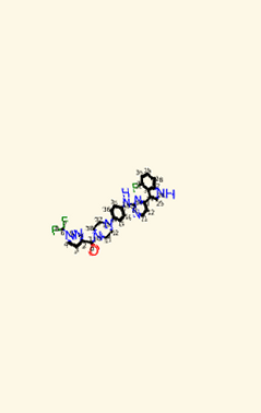 O=C(c1ccn(C(F)F)n1)N1CCN(c2ccc(Nc3nccc(-c4c[nH]c5cccc(F)c45)n3)cc2)CC1